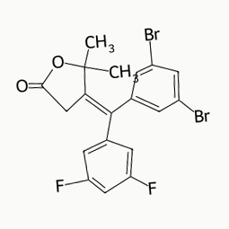 CC1(C)OC(=O)CC1=C(c1cc(F)cc(F)c1)c1cc(Br)cc(Br)c1